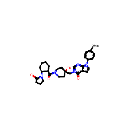 COc1ccc(-n2ccc3c(=O)n(CC4(O)CCN(C(=O)C5CCCCC5N5CCCC5=O)CC4)cnc32)cc1